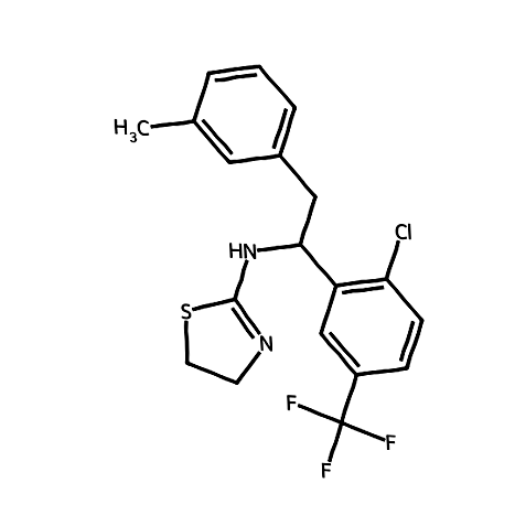 Cc1cccc(CC(NC2=NCCS2)c2cc(C(F)(F)F)ccc2Cl)c1